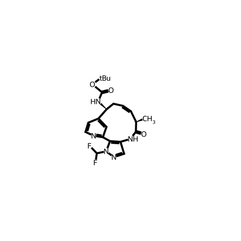 C[C@@H]1C=CC[C@H](NC(=O)OC(C)(C)C)c2ccnc(c2)-c2c(cnn2C(F)F)NC1=O